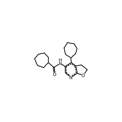 O=C(Nc1cnc2c(c1C1CCCCCC1)CCO2)C1CCCCCC1